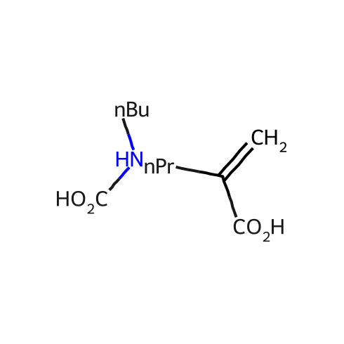 C=C(CCC)C(=O)O.CCCCNC(=O)O